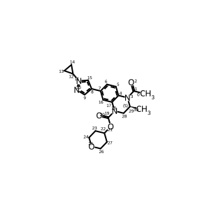 CC(=O)N1c2ccc(-c3cnn(C4CC4)c3)cc2N(C(=O)OC2CCOCC2)C[C@@H]1C